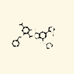 Cn1cncc1-c1cc2c(c(N[C@H]3CCOC3)c1)CN(C(=O)c1c(O)cc(C(F)F)cc1OCc1ccccc1)C2